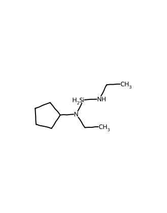 CCN[SiH2]N(CC)C1CCCC1